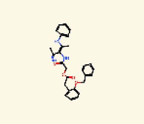 CC(=N)/C(NC(=O)COC(=O)Cc1ccccc1OCc1ccccc1)=C(/C)Nc1ccccc1